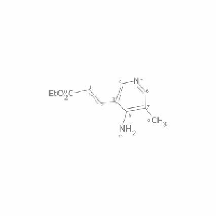 CCOC(=O)C=Cc1cncc(C)c1N